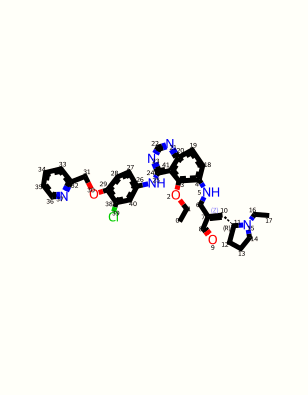 CCOc1c(NC/C(C=O)=C/[C@H]2CCCN2CC)ccc2ncnc(Nc3ccc(OCc4ccccn4)c(Cl)c3)c12